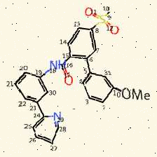 COc1cccc(-c2cc(S(C)(=O)=O)ccc2C(=O)Nc2cccc(-c3ccccn3)c2)c1